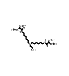 CCCCCCCCC(CCCCCC)C(=O)NCCCCCCN(CCO)CCCCCCNC(=O)C(CCCCCC)CCCCCCCC